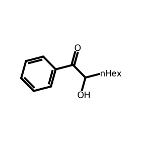 CCCCCCC(O)C(=O)c1ccccc1